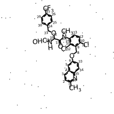 Cc1ccc2cc(OCc3c(Cl)ccc(N(C)C(=O)C(NC=O)OCc4ccc(C(F)(F)F)cc4)c3Cl)ccc2n1